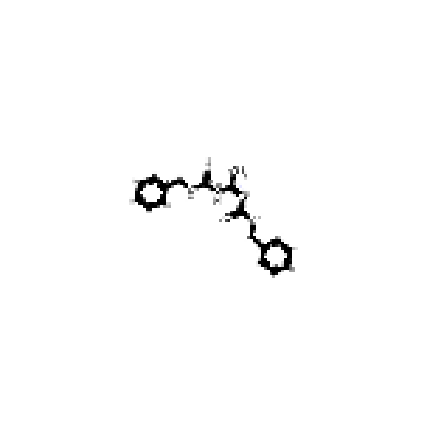 C/C(=N/C(=O)OCc1ccccc1)NC(=O)OCc1ccccc1